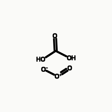 O=C(O)O.O=[O+][O-]